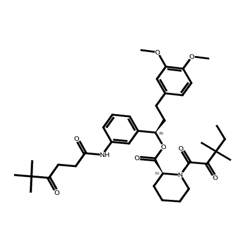 CCC(C)(C)C(=O)C(=O)N1CCCC[C@H]1C(=O)O[C@H](CCc1ccc(OC)c(OC)c1)c1cccc(NC(=O)CCC(=O)C(C)(C)C)c1